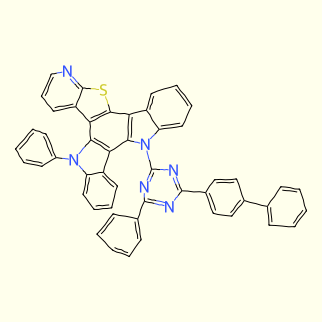 c1ccc(-c2ccc(-c3nc(-c4ccccc4)nc(-n4c5ccccc5c5c6sc7ncccc7c6c6c(c7ccccc7n6-c6ccccc6)c54)n3)cc2)cc1